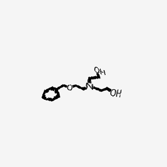 OCCN(CCO)CCOCc1ccccc1